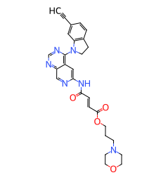 C#Cc1ccc2c(c1)N(c1ncnc3cnc(NC(=O)C=CC(=O)OCCCN4CCOCC4)cc13)CC2